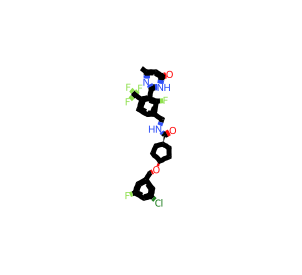 Cc1cc(=O)[nH]c(-c2c(C(F)(F)F)ccc(CNC(=O)[C@H]3CC[C@H](OCc4cc(F)cc(Cl)c4)CC3)c2F)n1